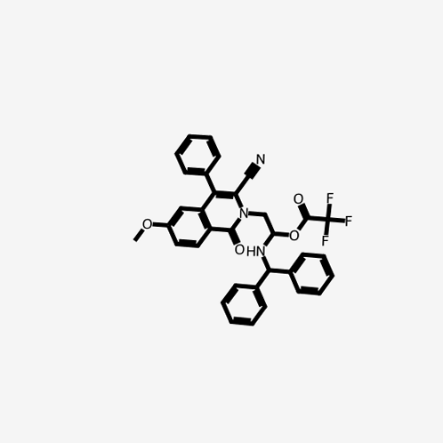 COc1ccc2c(=O)n(CC(NC(c3ccccc3)c3ccccc3)OC(=O)C(F)(F)F)c(C#N)c(-c3ccccc3)c2c1